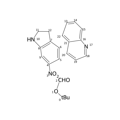 CC(C)(C)OC=O.O=[N+]([O-])c1ccc2c(c1)NCC2.c1ccc2ncccc2c1